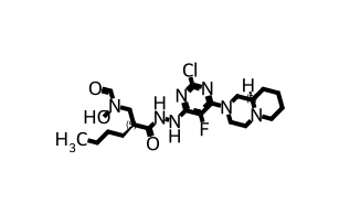 CCCC[C@@H](CN(O)C=O)C(=O)NNc1nc(Cl)nc(N2CCN3CCCC[C@@H]3C2)c1F